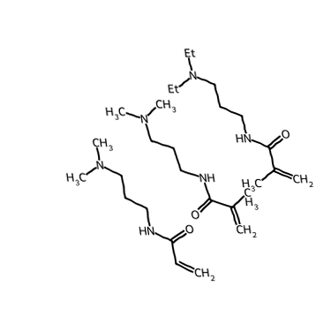 C=C(C)C(=O)NCCCN(C)C.C=C(C)C(=O)NCCCN(CC)CC.C=CC(=O)NCCCN(C)C